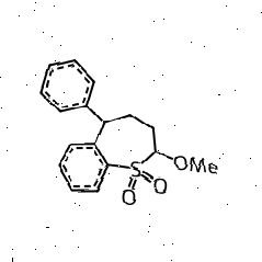 COC1CCC(c2ccccc2)c2ccccc2S1(=O)=O